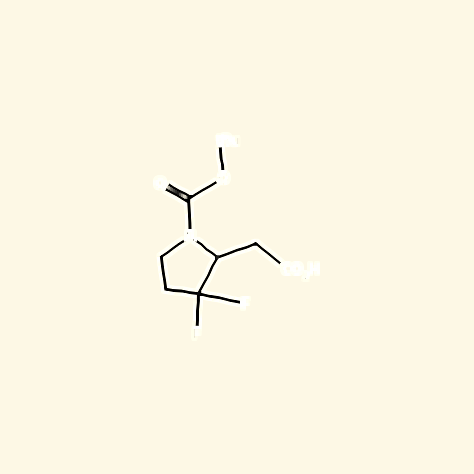 CC(C)(C)OC(=O)N1CCC(F)(F)C1CC(=O)O